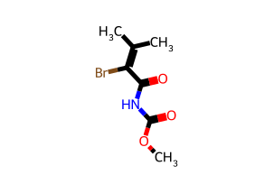 COC(=O)NC(=O)C(Br)=C(C)C